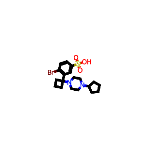 O=S(=O)(O)c1ccc(Br)c(C2(N3CCN(C4CCCC4)CC3)CCC2)c1